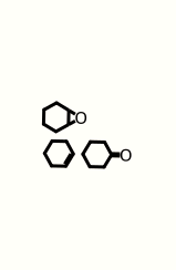 C1=CCCCC1.C1CCC2OC2C1.O=C1CCCCC1